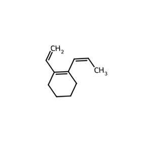 C=CC1=C(/C=C\C)CCCC1